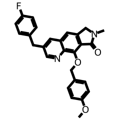 COc1ccc(COc2c3c(cc4cc(Cc5ccc(F)cc5)cnc24)CN(C)C3=O)cc1